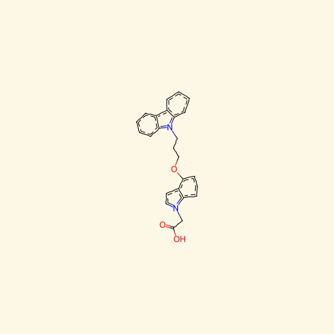 O=C(O)Cn1ccc2c(OCCCn3c4ccccc4c4ccccc43)cccc21